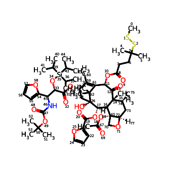 CSSC(C)(C)CCC(=O)O[C@H]1C(=O)[C@@]2(C)[C@H]([C@H](OC(=O)c3ccco3)[C@]3(O)C[C@H](OC(=O)[C@H](O[Si](C(C)C)(C(C)C)C(C)C)[C@@H](NC(=O)OC(C)(C)C)c4ccco4)C(C)=C1C3(C)C)[C@]1(OC(C)=O)CO[C@@H]1C[C@@H]2C